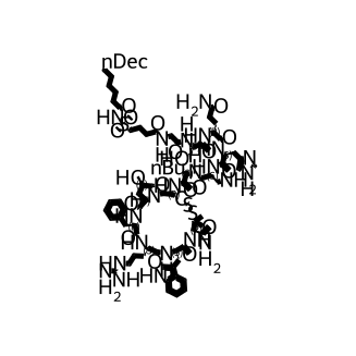 CCCCCCCCCCCCCCCC(=O)NS(=O)(=O)CCCC(=O)NCC(=O)N[C@@H](CO)C(=O)N[C@H](CCC(N)=O)C(=O)N[C@@H](Cc1c[nH]cn1)C(=O)N[C@@H](CN)C(=O)N[C@@H](CCCC)C(=O)N[C@H]1CSSC(C)(C)[C@@H](C(N)=O)NC(=O)[C@H](Cc2c[nH]c3ccccc23)NC(=O)[C@H](CCCNC(=N)N)NC(=O)[C@@H](Cc2ccccc2)NC(=O)[C@@H]2C[C@@H](O)CN2C1=O